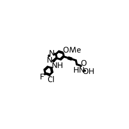 COc1cc2ncnc(Nc3ccc(F)c(Cl)c3)c2cc1C#CCCC(=O)NO